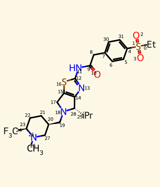 CCS(=O)(=O)c1ccc(CC(=O)Nc2nc3c(s2)CN(C[C@@H]2CC[C@H](C(F)(F)F)N(C)C2)[C@H]3C(C)C)cc1